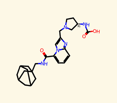 O=C(O)N[C@@H]1CCN(Cc2cn3c(C(=O)NCC45CC6CC(CC(C6)C4)C5)cccc3n2)C1